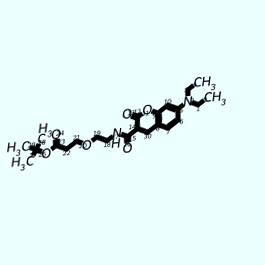 CCN(CC)c1ccc2c(c1)OC(=O)C(C(=O)NCCOCCC(=O)OC(C)(C)C)C2